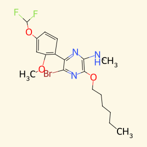 CCCCCCOc1nc(Br)c(-c2ccc(OC(F)F)cc2OC)nc1NC